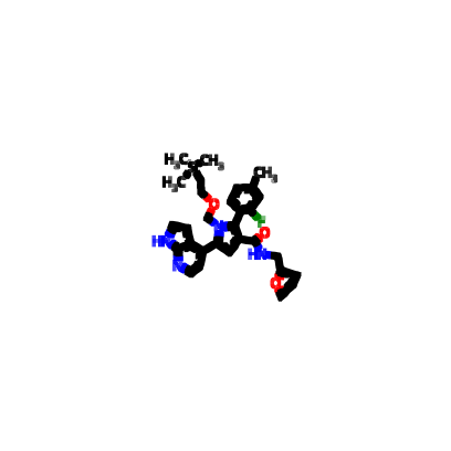 Cc1ccc(-c2c(C(=O)NCc3ccco3)cc(-c3ccnc4[nH]ccc34)n2COCC[Si](C)(C)C)c(F)c1